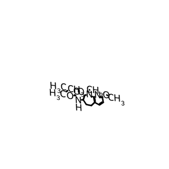 COc1ccc2c(n1)N(C)C(=O)C(NC(=O)OC(C)(C)C)CC2